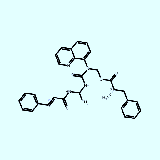 CC(NC(=O)/C=C/c1ccccc1)NC(=S)N(COC(=O)[C@@H](N)Cc1ccccc1)c1cccc2cccnc12